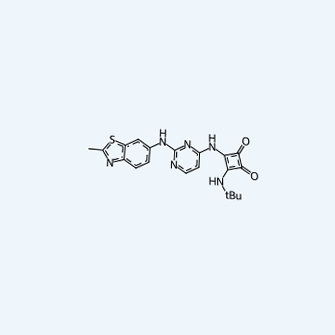 Cc1nc2ccc(Nc3nccc(Nc4c(NC(C)(C)C)c(=O)c4=O)n3)cc2s1